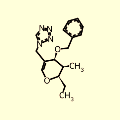 CC[C@H]1OC=C(Cn2cnnn2)[C@@H](OCc2ccccc2)[C@H]1C